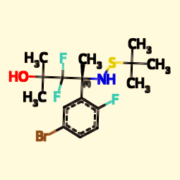 CC(C)(C)SN[C@](C)(c1cc(Br)ccc1F)C(F)(F)C(C)(C)O